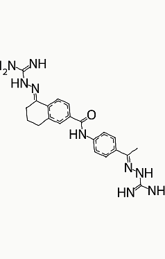 C/C(=N\NC(=N)N)c1ccc(NC(=O)c2ccc3c(c2)CCC/C3=N\NC(=N)N)cc1